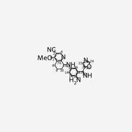 COc1c(C#N)cnc2c1CCCC2Nc1ccc(N)c(C(=N)c2cnco2)c1